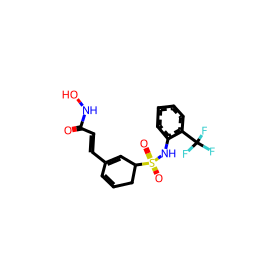 O=C(/C=C/C1=CC(S(=O)(=O)Nc2ccccc2C(F)(F)F)CC=C1)NO